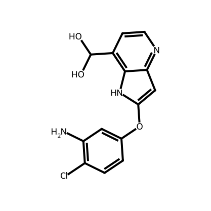 Nc1cc(Oc2cc3nccc(C(O)O)c3[nH]2)ccc1Cl